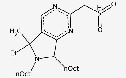 CCCCCCCCC1c2nc(C[SH](=O)=O)ncc2C(C)(CC)N1CCCCCCCC